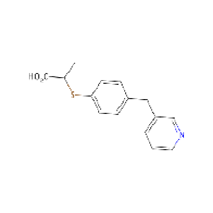 CC(Sc1ccc(Cc2cccnc2)cc1)C(=O)O